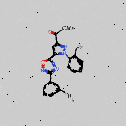 COC(=O)c1cc(-c2nc(-c3cccc(C)c3)no2)n(-c2ccccc2C(C)C)n1